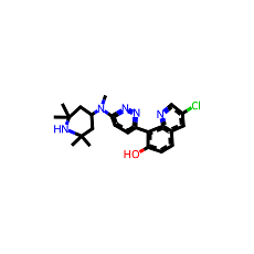 CN(c1ccc(-c2c(O)ccc3cc(Cl)cnc23)nn1)C1CC(C)(C)NC(C)(C)C1